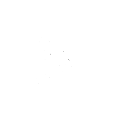 [2H]C([2H])([2H])NS(=O)(=O)c1nnc(NC(=O)C2CC2)cc1Nc1cccc(-c2ncn(C)n2)c1OC